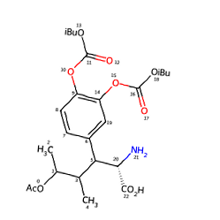 CC(=O)OC(C)C(C)C(c1ccc(OC(=O)OCC(C)C)c(OC(=O)OCC(C)C)c1)[C@H](N)C(=O)O